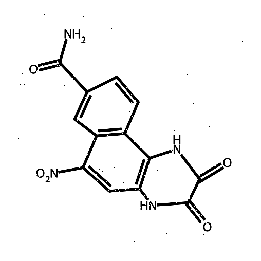 NC(=O)c1ccc2c(c1)c([N+](=O)[O-])cc1[nH]c(=O)c(=O)[nH]c12